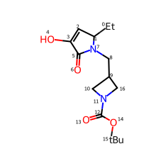 CCC1C=C(O)C(=O)N1CC1CN(C(=O)OC(C)(C)C)C1